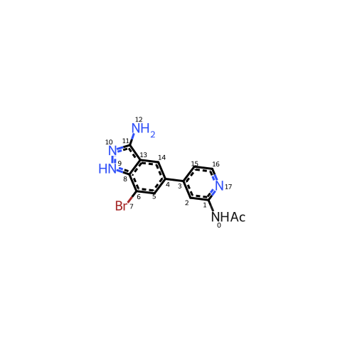 CC(=O)Nc1cc(-c2cc(Br)c3[nH]nc(N)c3c2)ccn1